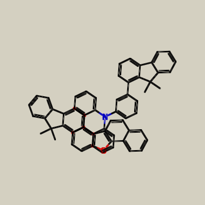 CC1(C)c2ccccc2-c2ccc(-c3ccccc3N(c3cccc(-c4cccc5c4C(C)(C)c4ccccc4-5)c3)c3ccccc3-c3cccc4oc5c6ccccc6ccc5c34)cc21